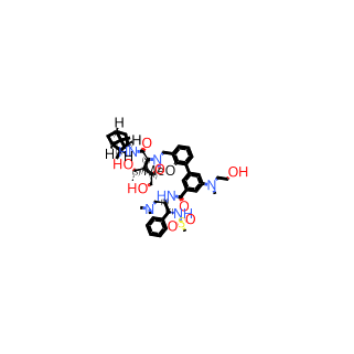 COc1c(CN2O[C@@H](CO)[C@@H]([C@H](C)O)[C@H]2C(=O)N[C@H]2C[C@H]3C[C@@H]([C@@H]2C)C3(C)C)cccc1-c1cc(C(=O)N[C@H](CN(C)C)[C@@H](NS(C)(=O)=O)c2ccccc2)cc(N(C)CCO)c1